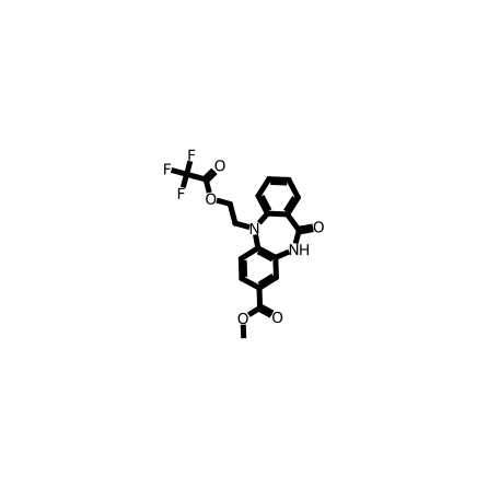 COC(=O)c1ccc2c(c1)NC(=O)c1ccccc1N2CCOC(=O)C(F)(F)F